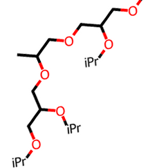 CC(C)OCC(COCC(C)OCC(COC(C)C)OC(C)C)OC(C)C